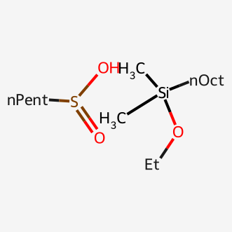 CCCCCCCC[Si](C)(C)OCC.CCCCCS(=O)O